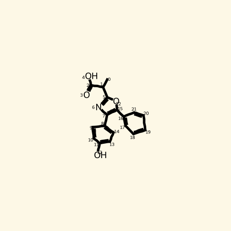 CC(C(=O)O)c1nc(-c2ccc(O)cc2)c(-c2ccccc2)o1